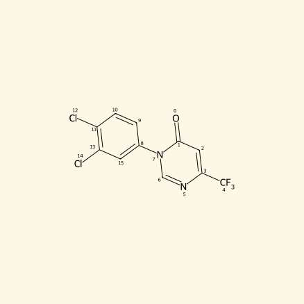 O=c1cc(C(F)(F)F)ncn1-c1ccc(Cl)c(Cl)c1